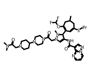 CC1CC(SC(C)C)=CC(C2C(NC(=O)c3cnn4cccnc34)=CN(CC(=O)N3CCN(C4CCN(CC(=O)N(C)C)CC4)CC3)N2C)=C(OC(F)F)C1